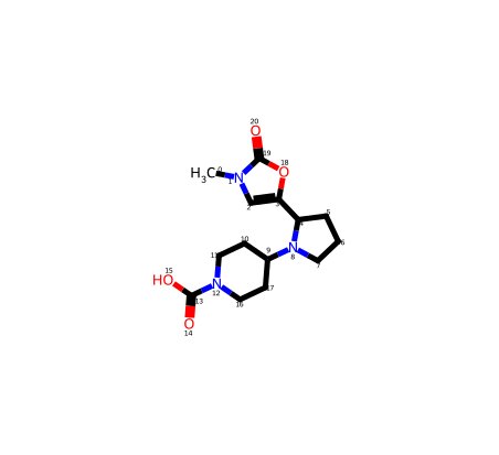 Cn1cc(C2CCCN2C2CCN(C(=O)O)CC2)oc1=O